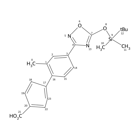 Cc1cc(-c2noc(O[Si](C)(C)C(C)(C)C)n2)ccc1-c1ccc(C(=O)O)cc1